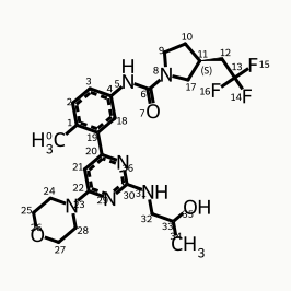 Cc1ccc(NC(=O)N2CC[C@@H](CC(F)(F)F)C2)cc1-c1cc(N2CCOCC2)nc(NCC(C)O)n1